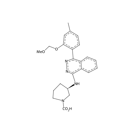 COCOc1cc(C)ccc1-c1nnc(N[C@@H]2CCCN(C(=O)O)C2)c2ccccc12